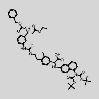 CCOC(=O)C[C@@H](NC(=O)OCc1ccccc1)c1cccc(NC(=O)OCCc2ccc(C(Nc3ccc4c(N(C(=O)OC(C)(C)C)C(=O)OC(C)(C)C)cccc4c3)C(=O)O)cc2C)c1